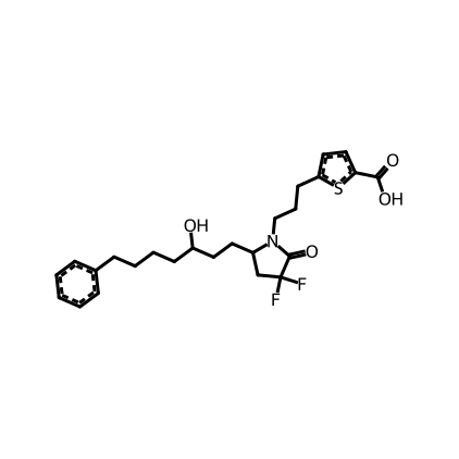 O=C(O)c1ccc(CCCN2C(=O)C(F)(F)CC2CCC(O)CCCCc2ccccc2)s1